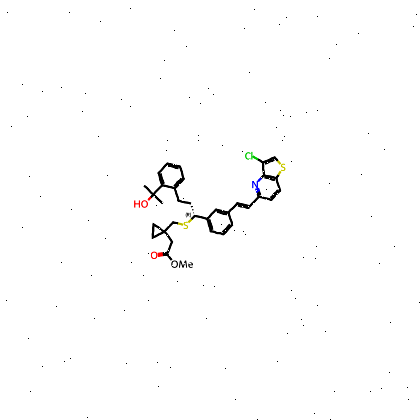 COC(=O)CC1(CS[C@H](CCc2ccccc2C(C)(C)O)c2cccc(C=Cc3ccc4scc(Cl)c4n3)c2)CC1